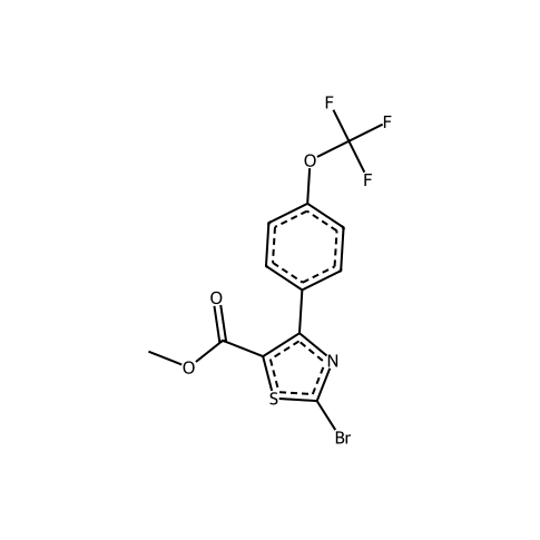 COC(=O)c1sc(Br)nc1-c1ccc(OC(F)(F)F)cc1